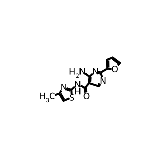 Cc1csc(NC(=O)c2cnc(-c3ccco3)nc2N)n1